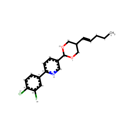 CCCC=CC1COC(c2ccc(-c3ccc(Cl)c(F)c3)nc2)OC1